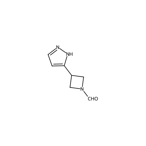 O=CN1CC(c2ccn[nH]2)C1